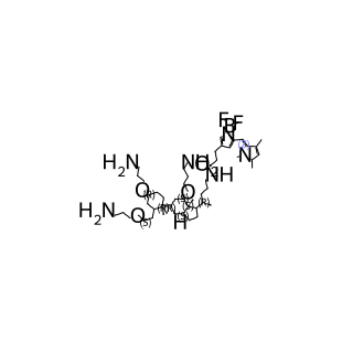 CC1=CC(C)N(C)/C1=C\c1cc(CCC(=O)NCCC[C@@H](C)C2CC[C@H]3C[C@@H]([C@@]4(C)CC[C@@H](OCCCN)CC4C[C@H](C)OCCCN)C[C@H](OCCCN)[C@]23C)cn1B(F)F